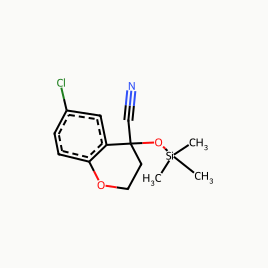 C[Si](C)(C)OC1(C#N)CCOc2ccc(Cl)cc21